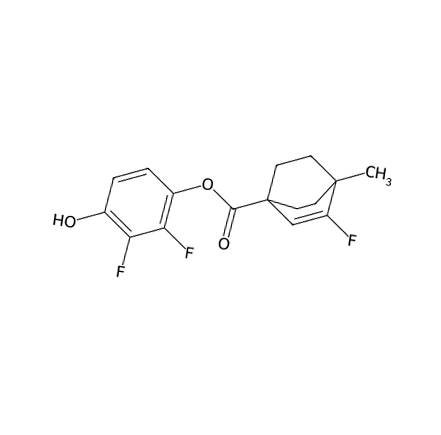 CC12CCC(C(=O)Oc3ccc(O)c(F)c3F)(C=C1F)CC2